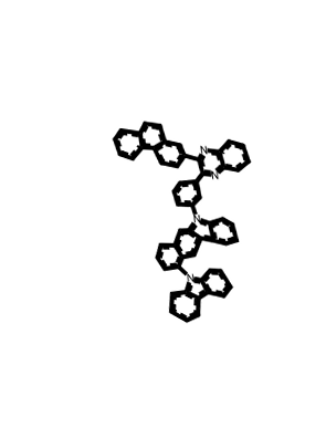 c1cc(-c2nc3ccccc3nc2-c2ccc3c(ccc4ccccc43)c2)cc(-n2c3ccccc3c3cc4c(-n5c6ccccc6c6ccccc65)cccc4cc32)c1